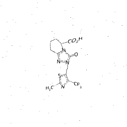 Cc1nc(C(F)(F)F)c(Cn2nc3n(c2=O)C(C(=O)O)CCC3)s1